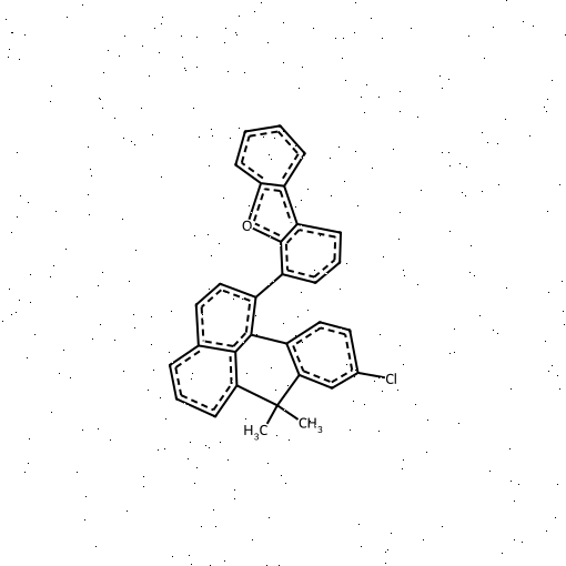 CC1(C)c2cc(Cl)ccc2-c2c(-c3cccc4c3oc3ccccc34)ccc3cccc1c23